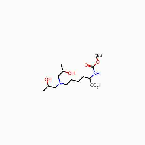 C[C@@H](O)CN(CCCCC(NC(=O)OC(C)(C)C)C(=O)O)C[C@@H](C)O